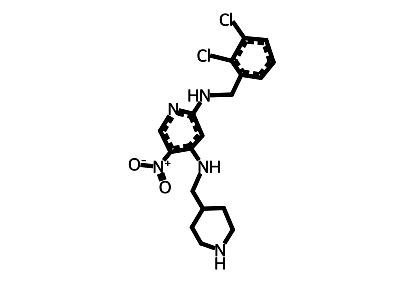 O=[N+]([O-])c1cnc(NCc2cccc(Cl)c2Cl)cc1NCC1CCNCC1